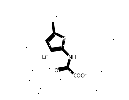 Cc1ccc(NC(=O)C(=O)[O-])s1.[Li+]